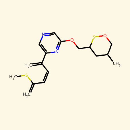 C=C(/C=C\C(=C)c1cncc(OCC2CC(C)COS2)n1)SC